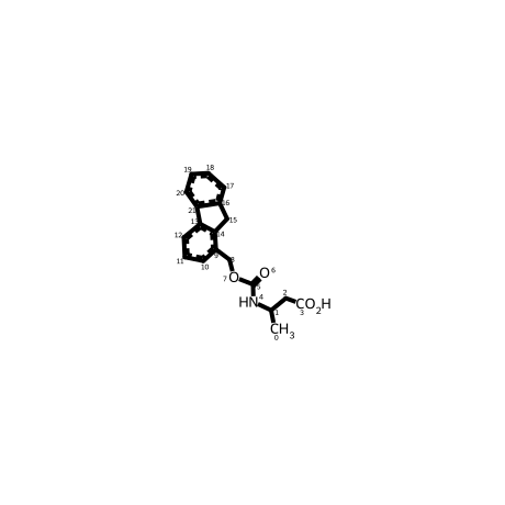 CC(CC(=O)O)NC(=O)OCc1cccc2c1Cc1ccccc1-2